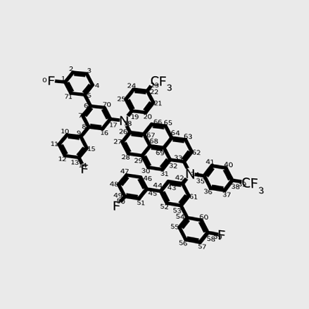 Fc1cccc(-c2cc(-c3cccc(F)c3)cc(N(c3ccc(C(F)(F)F)cc3)c3ccc4ccc5c(N(c6ccc(C(F)(F)F)cc6)c6cc(-c7cccc(F)c7)cc(-c7cccc(F)c7)c6)ccc6ccc3c4c65)c2)c1